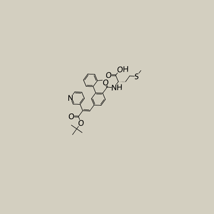 CSCC[C@H](NC(=O)c1ccc(/C=C(/C(=O)OC(C)(C)C)c2cccnc2)cc1-c1ccccc1C)C(=O)O